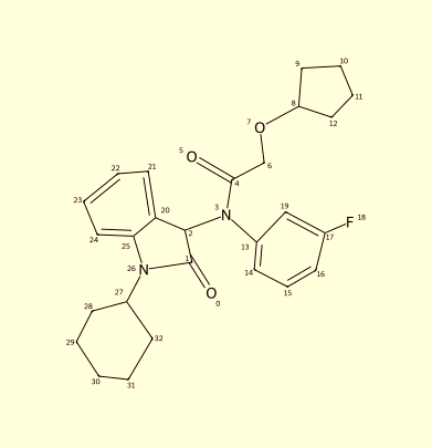 O=C1C(N(C(=O)COC2CCCC2)c2cccc(F)c2)c2ccccc2N1C1CCCCC1